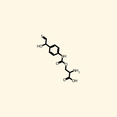 NC(COC(=O)Nc1ccc(C(O)C=S)cc1)C(=O)O